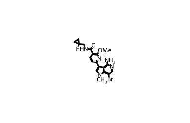 COc1nc(-c2cn(C)c3c(Br)cnc(N)c23)ccc1C(=O)NCC1(F)CC1